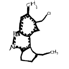 Cc1cc2nnc3c(c2cc1Cl)C(C)CC3